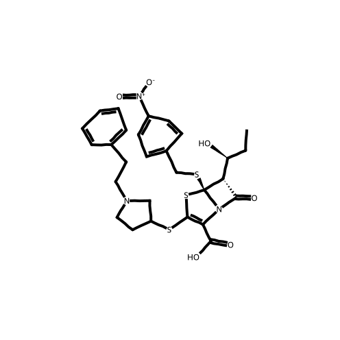 CC[C@H](O)[C@@H]1C(=O)N2C(C(=O)O)=C(SC3CCN(CCc4ccccc4)C3)S[C@]12SCc1ccc([N+](=O)[O-])cc1